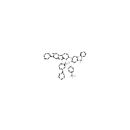 CC(C)(C)c1ccc(Nc2cc3c(cc2-c2ccc4c5cc6sc7ccccc7c6cc5n5c4c2Bc2cc4c(cc2-5)sc2ccccc24)-c2ccccc2C3(C)C)cc1